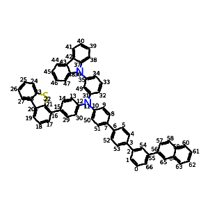 c1cc(-c2ccc(-c3ccc(N(c4ccc(-c5cccc6c5sc5ccccc56)cc4)c4cccc(-n5c6ccccc6c6ccccc65)c4)cc3)cc2)cc(-c2ccc3ccccc3c2)c1